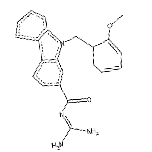 COC1=CC=CCC1Cn1c2ccccc2c2ccc(C(=O)N=C(N)N)cc21